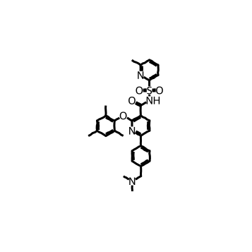 Cc1cc(C)c(Oc2nc(-c3ccc(CN(C)C)cc3)ccc2C(=O)NS(=O)(=O)c2cccc(C)n2)c(C)c1